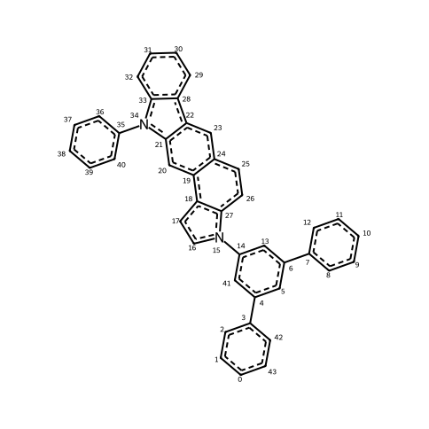 c1ccc(-c2cc(-c3ccccc3)cc(-n3ccc4c5cc6c(cc5ccc43)c3ccccc3n6-c3ccccc3)c2)cc1